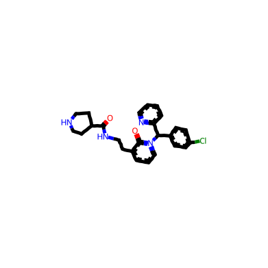 O=C(NCCc1cccn(C(c2ccc(Cl)cc2)c2ccccn2)c1=O)C1CCNCC1